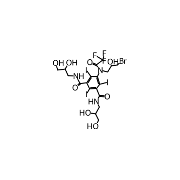 O=C(NCC(O)CO)c1c(I)c(C(=O)NCC(O)CO)c(I)c(N(CC(O)CBr)C(=O)C(F)(F)F)c1I